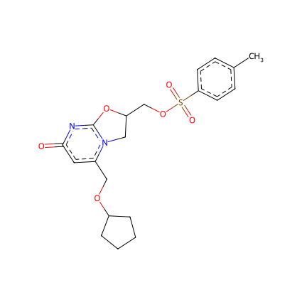 Cc1ccc(S(=O)(=O)OCC2Cn3c(COC4CCCC4)cc(=O)nc3O2)cc1